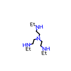 CCNCCN(CCNCC)CCNCC